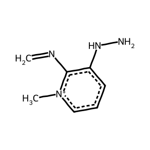 C=Nc1c(NN)ccc[n+]1C